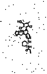 C=CC(=O)N[C@@H]1CCCC[C@@H]1Nc1ncc2c(n1)N(Cc1nccs1)C(=O)N(c1c(Cl)c(C)cc(O)c1Cl)C2